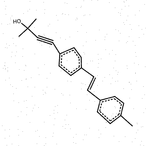 Cc1ccc(/C=C/c2ccc(C#CC(C)(C)O)cc2)cc1